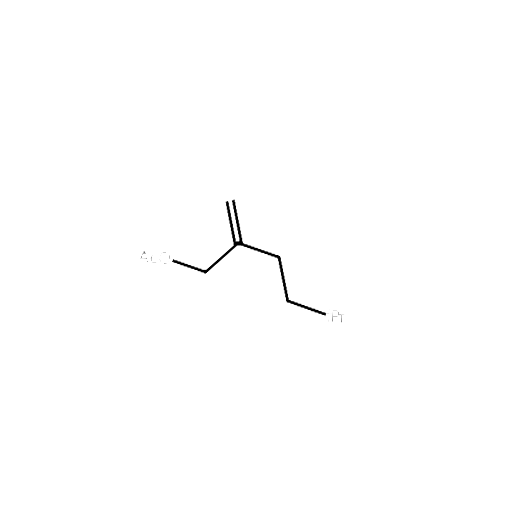 C=C(CCC(C)C)COC(C)=O